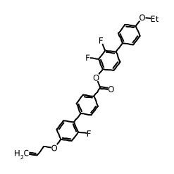 C=CCOc1ccc(-c2ccc(C(=O)Oc3ccc(-c4ccc(OCC)cc4)c(F)c3F)cc2)c(F)c1